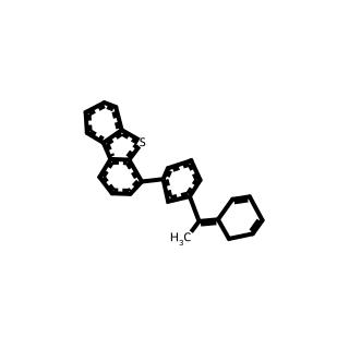 C/C(=C1/C=CC=CC1)c1cccc(-c2cccc3c2sc2ccccc23)c1